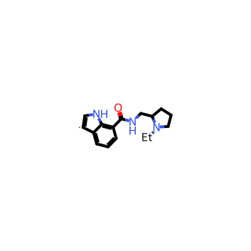 CCN1CCCC1CNC(=O)c1cccc2[c]c[nH]c12